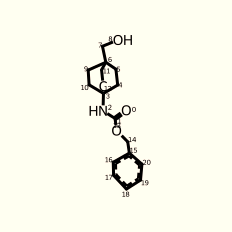 O=C(NC12CCC(CO)(CC1)CC2)OCc1ccccc1